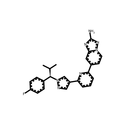 CC(C)[C@H](c1ccc(F)cc1)n1cc(-c2cccc(-c3ccn4nc(N)nc4c3)n2)cn1